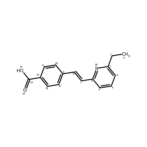 CCc1cccc(C=Cc2ccc(C(=O)O)cc2)n1